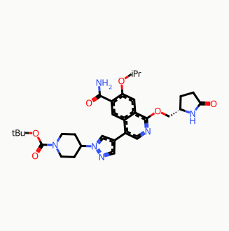 CC(C)Oc1cc2c(OC[C@@H]3CCC(=O)N3)ncc(-c3cnn(C4CCN(C(=O)OC(C)(C)C)CC4)c3)c2cc1C(N)=O